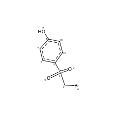 O=S(=O)(CBr)c1ccc(O)cc1